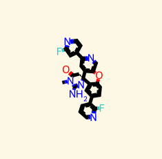 CN1C(=O)C[C@@]2(N=C1N)c1cc(-c3cccnc3F)ccc1Oc1cnc(-c3ccnc(F)c3)cc12